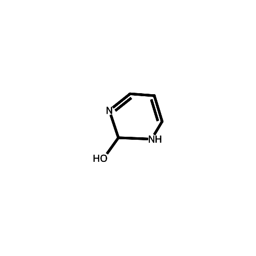 OC1N=CC=CN1